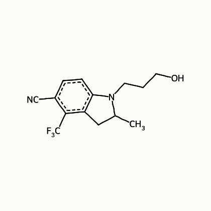 CC1Cc2c(ccc(C#N)c2C(F)(F)F)N1CCCO